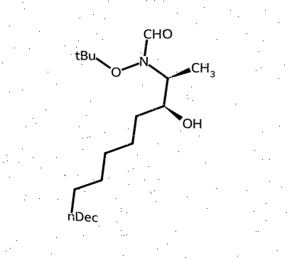 CCCCCCCCCCCCCCC[C@H](O)[C@H](C)N(C=O)OC(C)(C)C